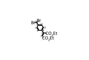 CCOC(=O)/C=C(\C(=O)OCC)c1ccc(C(Br)Br)cc1